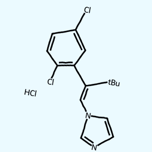 CC(C)(C)/C(=C\n1ccnc1)c1cc(Cl)ccc1Cl.Cl